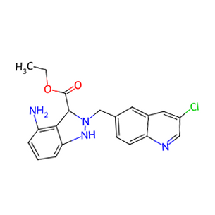 CCOC(=O)C1c2c(N)cccc2NN1Cc1ccc2ncc(Cl)cc2c1